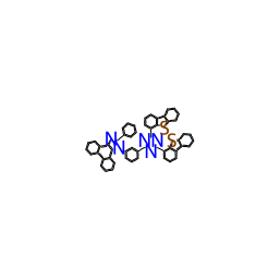 c1ccc(-c2nc3c4ccccc4c4ccccc4c3n2-c2cccc(-c3nc(-c4cccc5c4sc4ccccc45)nc(-c4cccc5c4sc4ccccc45)n3)c2)cc1